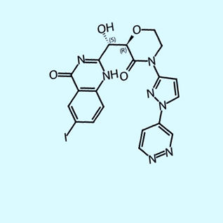 O=C1[C@@H]([C@@H](O)c2nc(=O)c3cc(I)ccc3[nH]2)OCCN1c1ccn(-c2ccnnc2)n1